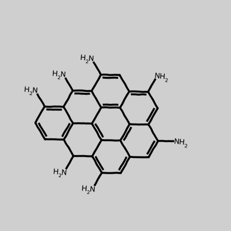 Nc1cc2cc(N)c3cc(N)c4cc(N)c5c(N)c6c(N)ccc7c6c6c(c1C7N)c2c3c4c56